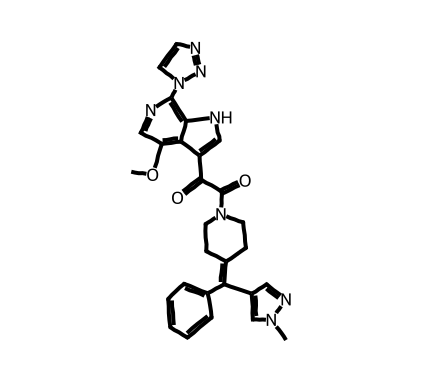 COc1cnc(-n2ccnn2)c2[nH]cc(C(=O)C(=O)N3CCC(=C(c4ccccc4)c4cnn(C)c4)CC3)c12